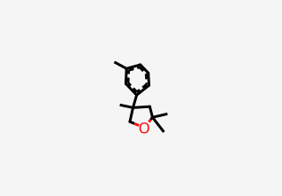 Cc1cccc(C2(C)COC(C)(C)C2)c1